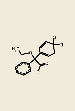 CCOC(C(=O)O)(C1=CCC(Cl)(Cl)C=C1)c1ccccc1